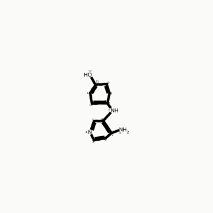 Nc1ccncc1Nc1ccc(O)cc1